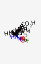 C=C(C)[C@@H]1CC[C@]2(NCCN3CCN(S(=O)(=O)c4ccc(F)cc4)CC3)CC[C@]3(C)[C@H](CC[C@@H]4[C@@]5(C)CC=C(c6ccc(C(=O)O)cc6)C(C)(C)[C@@H]5CC[C@]43C)[C@@H]12